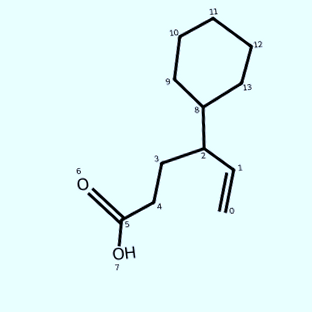 C=CC(CCC(=O)O)C1CCCCC1